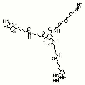 [N-]=[N+]=NCCOCCOCCOCCNC(=O)c1cc(NC(=O)CCCCNC(=O)CCCCC2SCC3NC(=N)NC32)cc(NC(=O)CCCCNC(=O)CCCCC2SCC3NC(=N)NC32)c1